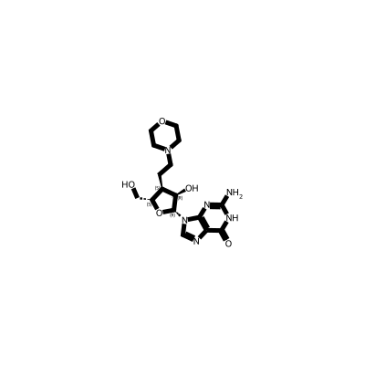 Nc1nc2c(ncn2[C@@H]2O[C@H](CO)[C@@H](CCN3CCOCC3)[C@H]2O)c(=O)[nH]1